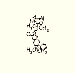 CN(C)C1(c2ccccc2)CCC2(CC1)CC(=O)N(CCC(C)(C)C(=O)NC1(C#N)CC1)C2